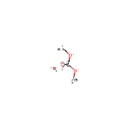 Br.Br.CCC[O][Hf][O]CCC